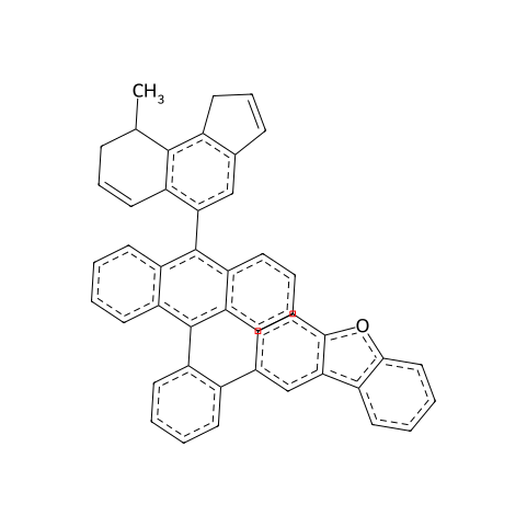 CC1CC=Cc2c(-c3c4ccccc4c(-c4ccccc4-c4ccc5oc6ccccc6c5c4)c4ccccc34)cc3c(c21)CC=C3